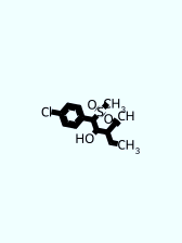 C#CC(CC)C(O)C(c1ccc(Cl)cc1)S(C)(=O)=O